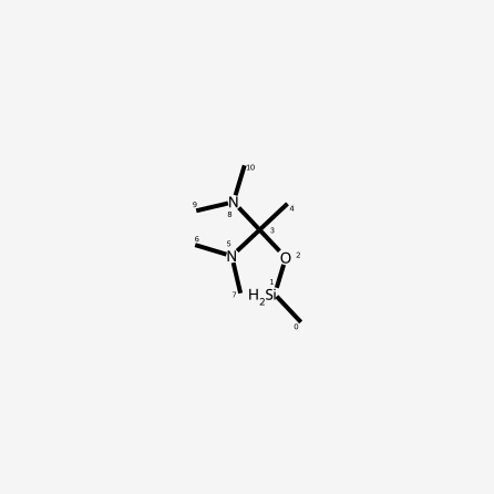 C[SiH2]OC(C)(N(C)C)N(C)C